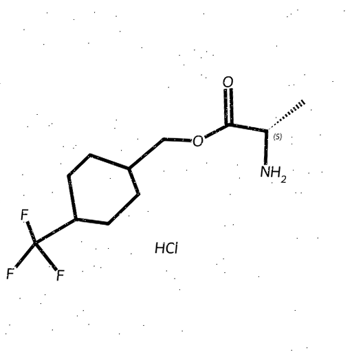 C[C@H](N)C(=O)OCC1CCC(C(F)(F)F)CC1.Cl